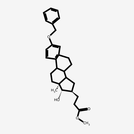 COC(=O)CC[C@@H]1CC2C3CCc4cc(OCc5ccccc5)ccc4C3CC[C@]2(C)[C@H]1O